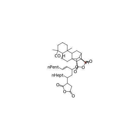 CCCCC/C=C/C(CC(CCCCCCC)C1CC(=O)OC1=O)OC1C(C(C)C)C2CC3C4(C)CCCC(C)(C(=O)O)C4CCC13C1C(=O)OC(=O)C21